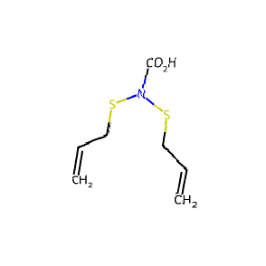 C=CCSN(SCC=C)C(=O)O